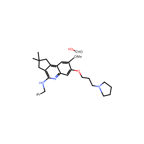 COc1cc2c3c(c(NCC(C)C)nc2cc1OCCCN1CCCC1)CC(C)(C)C3.O=CO